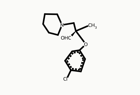 C[C@@](C=O)(CN1CCCCC1)Oc1ccc(Cl)cc1